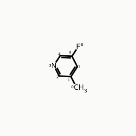 Cc1cncc(F)c1